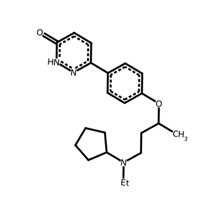 CCN(CCC(C)Oc1ccc(-c2ccc(=O)[nH]n2)cc1)C1CCCC1